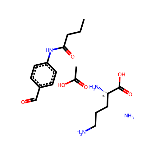 CC(=O)O.CCCC(=O)Nc1ccc(C=O)cc1.N.NCCC[C@H](N)C(=O)O